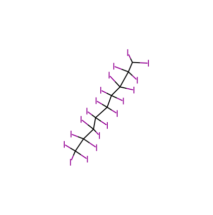 IC(I)C(I)(I)C(I)(I)C(I)(I)C(I)(I)C(I)(I)C(I)(I)C(I)(I)C(I)(I)I